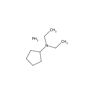 CCN(CC)C1CCCC1.P